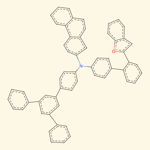 c1ccc(-c2cc(-c3ccccc3)cc(-c3ccc(N(c4ccc(-c5ccccc5-c5cc6ccccc6o5)cc4)c4ccc5c(ccc6ccccc65)c4)cc3)c2)cc1